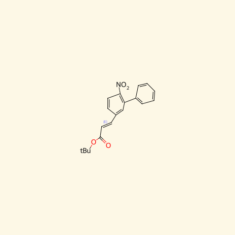 CC(C)(C)OC(=O)/C=C/c1ccc([N+](=O)[O-])c(-c2ccccc2)c1